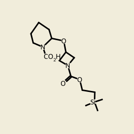 C[Si](C)(C)CCOC(=O)N1CC(OC2CCCCN2C(=O)O)C1